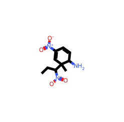 CCC([N+](=O)[O-])C1(C)C=C([N+](=O)[O-])C=CC1N